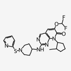 CC1CCCC1n1c(=O)c(OC(F)F)cc2cnc(NC3CCN(Sc4ccccn4)CC3)nc21